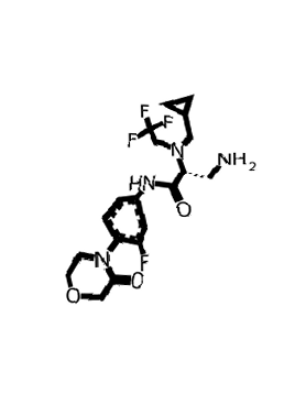 NC[C@H](C(=O)Nc1ccc(N2CCOCC2=O)c(F)c1)N(CC1CC1)CC(F)(F)F